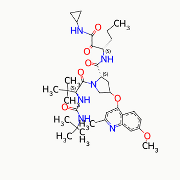 CCC[C@H](NC(=O)[C@@H]1CC(Oc2cc(C)nc3cc(OC)ccc23)CN1C(=O)[C@@H](NC(=O)NC(C)(C)C)C(C)(C)C)C(=O)C(=O)NC1CC1